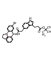 CC(C)(C)OC(=O)CCc1c[nH]c2ccc(CC(=O)NC(c3ccccc3)c3cc(Br)ccc3N3CCCC3)cc12